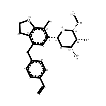 C=Cc1ccc(Cc2cc([C@H]3C[C@@H](O)[C@@H](C)[C@@H](CO)O3)c(C)c3c2CCO3)cc1